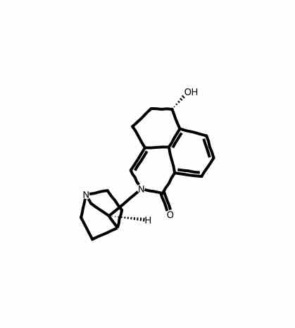 O=c1c2cccc3c2c(cn1[C@@H]1CN2CCC1CC2)CC[C@@H]3O